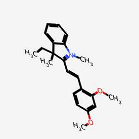 CCC1(C)C(/C=C/c2ccc(OC)cc2OC)=[N+](C)c2ccccc21